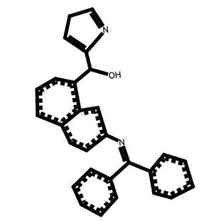 OC(C1=CCC=N1)c1cccc2ccc(N=C(c3ccccc3)c3ccccc3)cc12